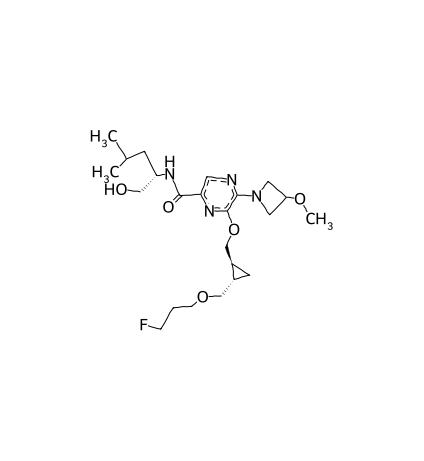 COC1CN(c2ncc(C(=O)N[C@H](CO)CC(C)C)nc2OC[C@H]2C[C@@H]2COCCCF)C1